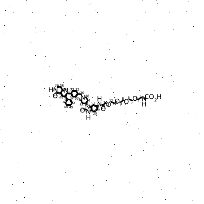 O=C(O)NCCOCCOCCOCCOCC(=O)Nc1ccc2[nH]c(=O)n(C3CCN(Cc4ccc(-c5nc6cc[nH]c(=O)c6cc5-c5ccccc5)cc4)CC3)c2c1